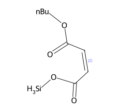 CCCCOC(=O)/C=C\C(=O)O[SiH3]